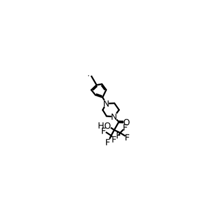 [CH2]c1ccc(N2CCN(C(=O)C(O)(C(F)(F)F)C(F)(F)F)CC2)cc1